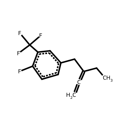 C=C=C(CC)Cc1ccc(F)c(C(F)(F)F)c1